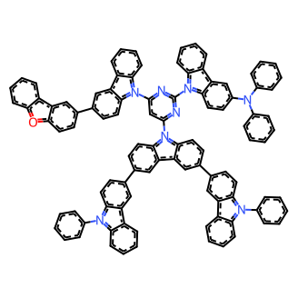 c1ccc(N(c2ccccc2)c2ccc3c(c2)c2ccccc2n3-c2nc(-n3c4ccccc4c4cc(-c5ccc6oc7ccccc7c6c5)ccc43)cc(-n3c4ccc(-c5ccc6c(c5)c5ccccc5n6-c5ccccc5)cc4c4cc(-c5ccc6c(c5)c5ccccc5n6-c5ccccc5)ccc43)n2)cc1